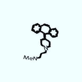 CNCCCN1CCC(=C2c3ccccc3C=Cc3ccccc32)CC1